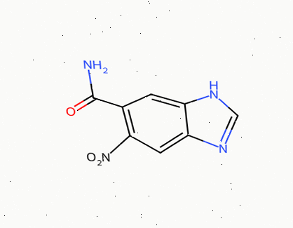 NC(=O)c1cc2[nH]cnc2cc1[N+](=O)[O-]